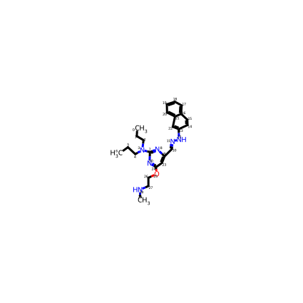 CCCN(CCC)c1nc(/C=N/Nc2ccc3ccccc3c2)cc(OCCNC)n1